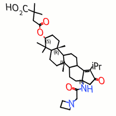 CC(C)C1=C2C3CCC4[C@@](C)(CCC5C(C)(C)[C@@H](OC(=O)CC(C)(C)C(=O)O)CC[C@@]54C)C3CC[C@@]2(NC(=O)CN2CCC2)CC1=O